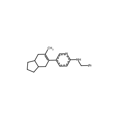 CC1=C(c2ccc(NCC(C)C)nc2)CC2CCCC2C1